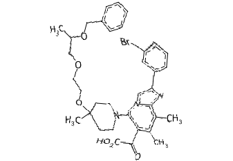 Cc1c(C(=O)C(=O)O)c(N2CCC(C)(OCCOCC(C)OCc3ccccc3)CC2)n2cc(-c3cccc(Br)c3)nc2c1C